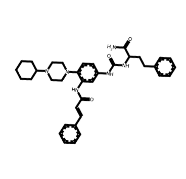 NC(=O)C(CCc1ccccc1)NC(=O)Nc1ccc(N2CCN(C3CCCCC3)CC2)c(NC(=O)C=Cc2ccccc2)c1